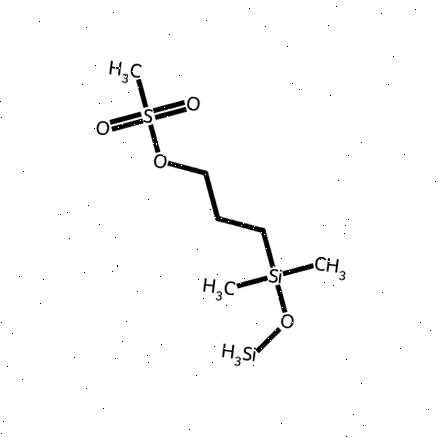 C[Si](C)(CCCOS(C)(=O)=O)O[SiH3]